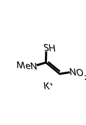 CNC(S)=C[N+](=O)[O-].[K+]